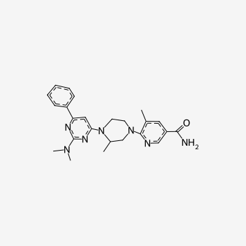 Cc1cc(C(N)=O)cnc1N1CCN(c2cc(-c3ccccc3)nc(N(C)C)n2)C(C)C1